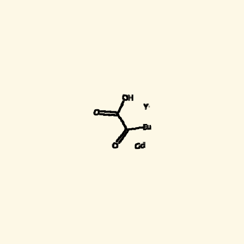 O=C(O)[C](=O)[Eu].[Gd].[Y]